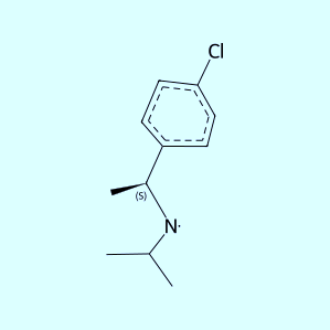 CC(C)[N][C@@H](C)c1ccc(Cl)cc1